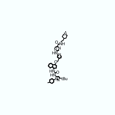 Cc1ccc(-n2nc(C(C)(C)C)cc2NC(=O)Nc2ccc(OCc3ccnc(Nc4cnc(C(=O)NCCC5CCN(C)CC5)cn4)c3)c3ccccc23)cc1